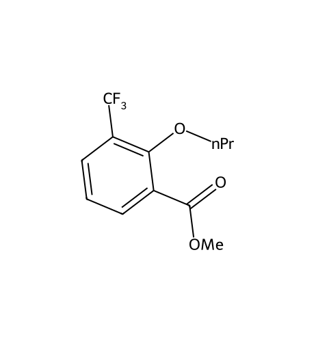 CCCOc1c(C(=O)OC)cccc1C(F)(F)F